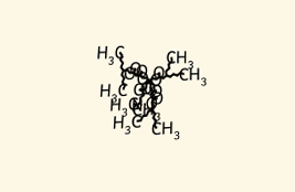 CCCCCC(CCCCC)COC(=O)CC(=O)OCC(COC(=O)CCCN(C)C)(COC(=O)CC(=O)OCC(CCCCC)CCCCC)COC(=O)CC(CCCCC)CCCCC